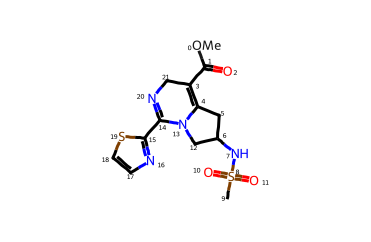 COC(=O)C1=C2CC(NS(C)(=O)=O)CN2C(c2nccs2)=NC1